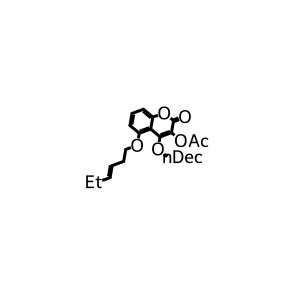 CCC=CCCOc1cccc2oc(=O)c(OC(C)=O)c(OCCCCCCCCCC)c12